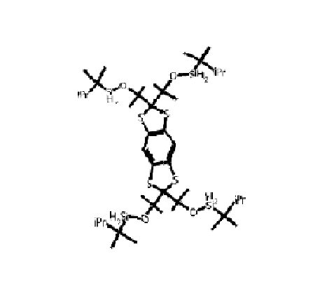 CC(C)C(C)(C)[SiH2]OC(C)(C)C1(C(C)(C)O[SiH2]C(C)(C)C(C)C)Sc2cc3c(cc2S1)SC(C(C)(C)O[SiH2]C(C)(C)C(C)C)(C(C)(C)O[SiH2]C(C)(C)C(C)C)S3